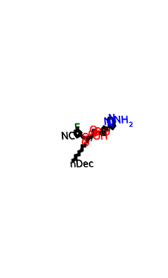 CCCCCCCCCCCCCCCCCCOC[C@H](COP(=O)(O)OC[C@]1(C)CC[C@H](c2ccc3c(N)ncnn23)O1)OCc1cc(F)cc(C#N)c1